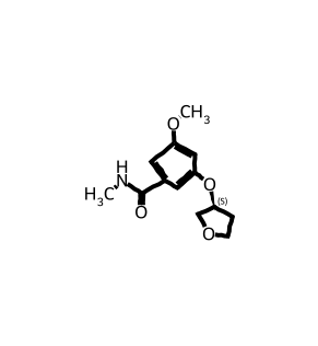 CNC(=O)c1cc(OC)cc(O[C@H]2CCOC2)c1